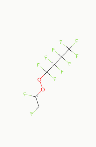 FC[C](F)OOC(F)(F)C(F)(F)C(F)(F)C(F)(F)F